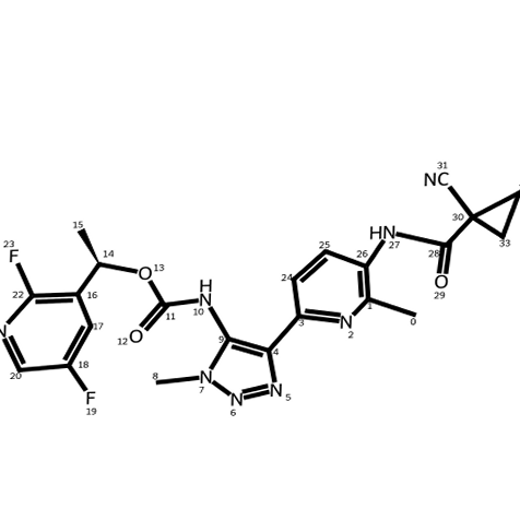 Cc1nc(-c2nnn(C)c2NC(=O)O[C@H](C)c2cc(F)cnc2F)ccc1NC(=O)C1(C#N)CC1